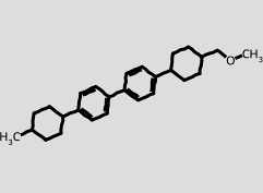 COCC1CCC(c2ccc(-c3ccc(C4CCC(C)CC4)cc3)cc2)CC1